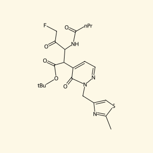 CCCC(=O)NC(C(=O)CF)C(C(=O)OC(C)(C)C)c1ccnn(Cc2csc(C)n2)c1=O